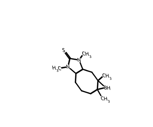 CN1C(=S)N(C)C2CC3(C)BC3(C)CCCC21